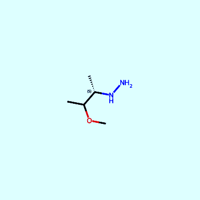 COC(C)[C@H](C)NN